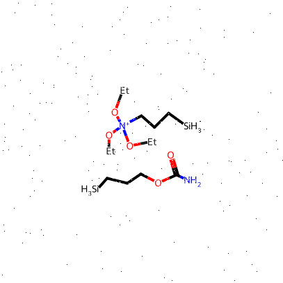 CCO[N+](CCC[SiH3])(OCC)OCC.NC(=O)OCCC[SiH3]